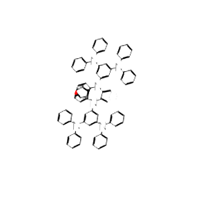 c1ccc(N(c2ccccc2)c2cc(N(c3ccccc3)c3ccccc3)cc(N(c3ccccc3)c3cocc3N(c3ccccc3)c3cc(N(c4ccccc4)c4ccccc4)cc(N(c4ccccc4)c4ccccc4)c3)c2)cc1